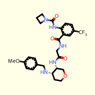 COc1ccc(CN[C@H]2CCOC[C@H]2NC(=O)CNC(=O)c2cc(C(F)(F)F)ccc2NC(=O)N2CCC2)cc1